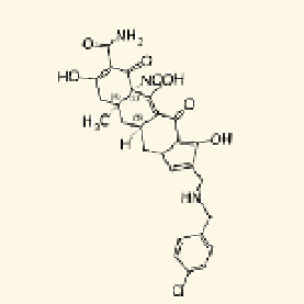 C[C@]12CC(O)=C(C(N)=O)C(=O)[C@@]1(N=O)C(O)=C1C(=O)C3=C(O)C(CNCc4ccc(Cl)cc4)=CC3C[C@H]1C2